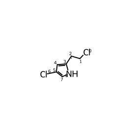 ClC[CH]c1cc(Cl)c[nH]1